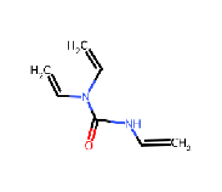 C=CNC(=O)N(C=C)C=C